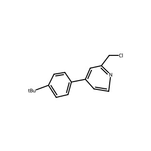 CC(C)(C)c1ccc(-c2ccnc(CCl)c2)cc1